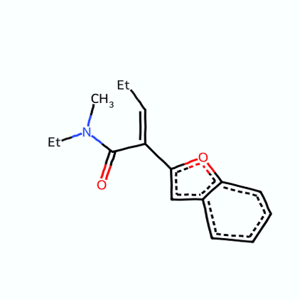 CCC=C(C(=O)N(C)CC)c1cc2ccccc2o1